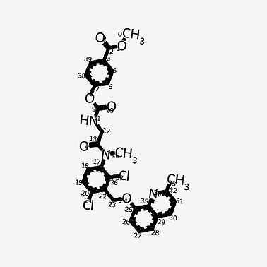 COC(=O)c1ccc(OC(=O)NCC(=O)N(C)c2ccc(Cl)c(COc3cccc4ccc(C)nc34)c2Cl)cc1